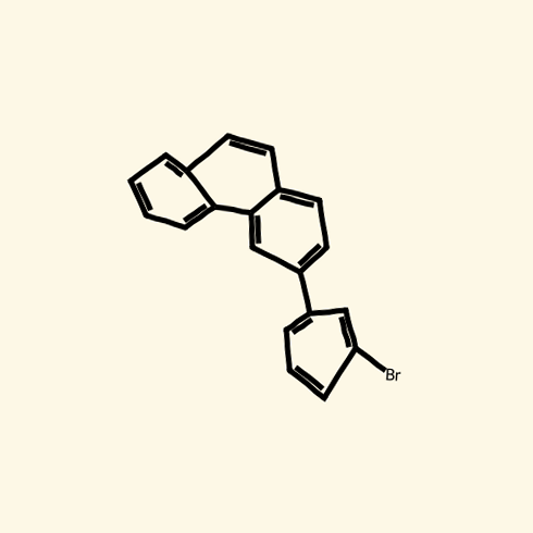 Brc1cccc(-c2ccc3ccc4ccccc4c3c2)c1